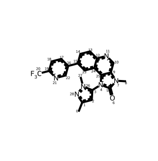 Cc1cc(-n2c(=O)n(C)c3cnc4ccc(-c5ccc(C(F)(F)F)nc5)cc4c32)n(C)n1